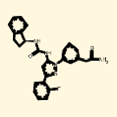 NC(=O)Cc1cccc(-n2nc(-c3ccccc3F)cc2NC(=O)N[C@H]2CCc3ccccc32)c1